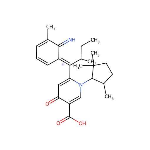 CCC(C)/C(=C1/C=CC=C(C)C1=N)c1cc(=O)c(C(=O)O)cn1C1C(C)CCC1(C)C